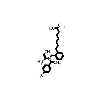 C=C(C)CCCCCCc1ccccc1CN(C(=C)c1ccc(C)cc1)/C(C)=C\C